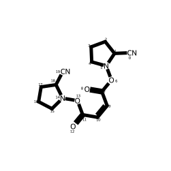 N#CC1CCCN1OC(=O)/C=C\C(=O)ON1CCCC1C#N